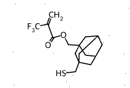 C=C(C(=O)OCC12CC3CC(CC(CS)(C3)C1)C2)C(F)(F)F